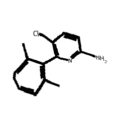 Cc1cccc(C)c1-c1nc(N)ccc1Cl